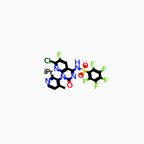 Cc1ccnc(C(C)C)c1-n1c(=O)nc(NS(=O)(=O)c2c(F)c(F)c(F)c(F)c2F)c2cc(F)c(Cl)nc21